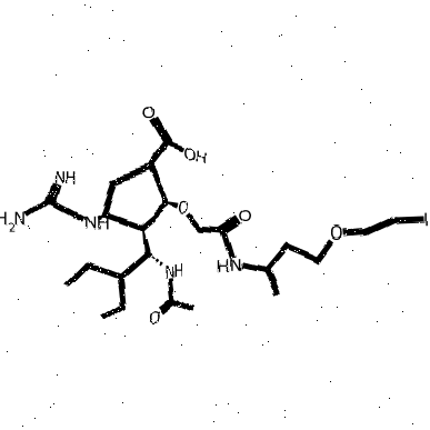 CCC(CC)[C@@H](NC(C)=O)[C@@H]1[C@H](OCC(=O)NC(C)CCOCCI)C(C(=O)O)C[C@H]1NC(=N)N